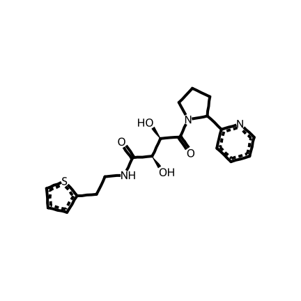 O=C(NCCc1cccs1)[C@H](O)[C@@H](O)C(=O)N1CCCC1c1ccccn1